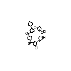 O=C(c1cc(Cl)cc(N2CCNCC2)c1)N1CCN(C(=O)c2ccc(O[C@H]3CCN(OCl)C3)c(C3CCCCC3)c2)CC1